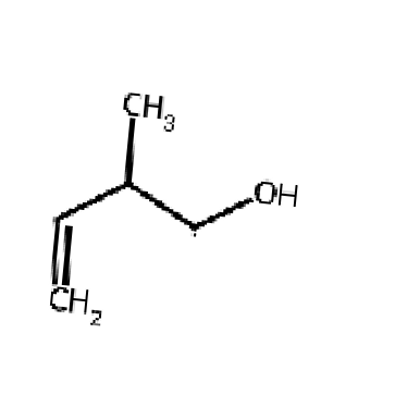 C=CC(C)[CH]O